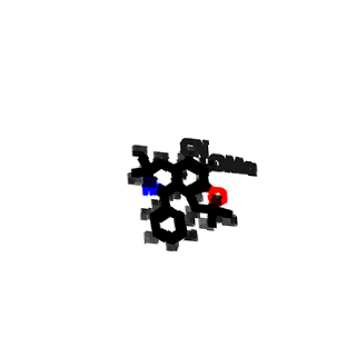 COc1c(C#N)c2c(c3c1OC(C)(C)C3)C(c1ccccc1)=NC(C)(C)C2